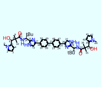 Cn1cccc1C(O)C(C)(C)C(=O)N[C@H](c1nc(-c2ccc(-c3ccc(-c4c[nH]c([C@@H](NC(=O)C(C)(C)C(O)c5cccn5C)C(C)(C)C)n4)cc3)cc2)c[nH]1)C(C)(C)C